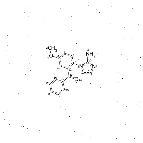 COc1ccc(-n2ccnc2N)c(C(=O)c2ccccc2)c1